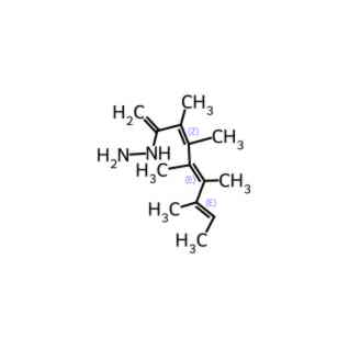 C=C(NN)\C(C)=C(C)/C(C)=C(C)/C(C)=C/C